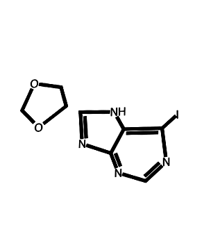 C1COCO1.Ic1ncnc2nc[nH]c12